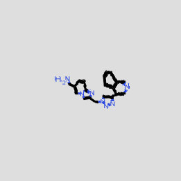 NCc1ccc2nc(Cn3cc(-c4cncc5ccccc45)nn3)cn2c1